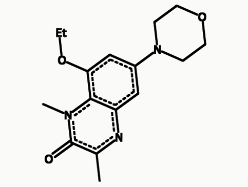 CCOc1cc(N2CCOCC2)cc2nc(C)c(=O)n(C)c12